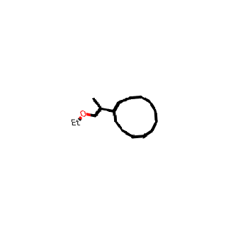 CCOCC(C)C1CCCCCCCCCCC1